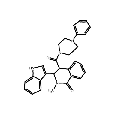 CN1C(=O)c2ccccc2C(C(=O)N2CCN(c3ccccc3)CC2)C1c1c[nH]c2ccccc12